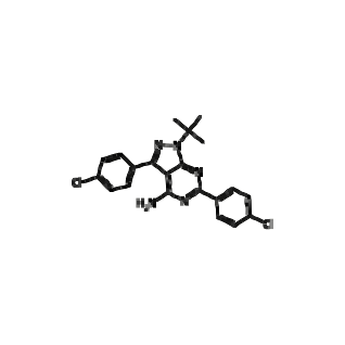 CC(C)(C)n1nc(-c2ccc(Cl)cc2)c2c(N)nc(-c3ccc(Cl)cc3)nc21